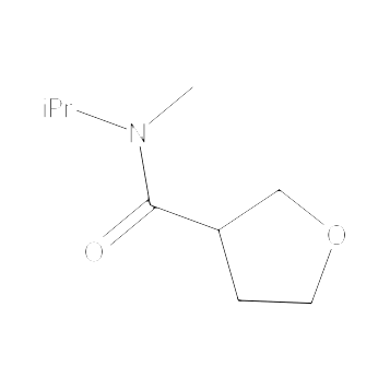 CC(C)N(C)C(=O)C1CCOC1